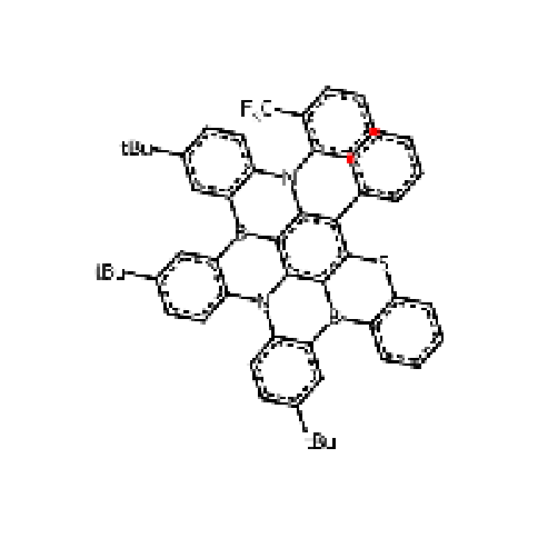 CC(C)(C)c1ccc2c(c1)B1c3ccccc3Sc3c1c1c4c(c3-c3ccccc3)N(c3ccccc3C(F)(F)F)c3ccc(C(C)(C)C)cc3B4c3cc(C(C)(C)C)ccc3N21